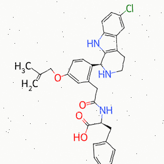 C=C(C)COc1ccc([C@@H]2NCCc3c2[nH]c2ccc(Cl)cc32)c(CC(=O)N[C@@H](Cc2ccccc2)C(=O)O)c1